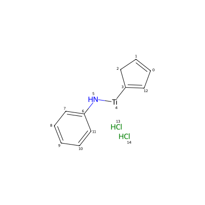 C1=CC[C]([Ti][NH]c2ccccc2)=C1.Cl.Cl